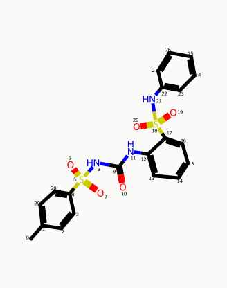 Cc1ccc(S(=O)(=O)NC(=O)Nc2ccccc2S(=O)(=O)Nc2ccccc2)cc1